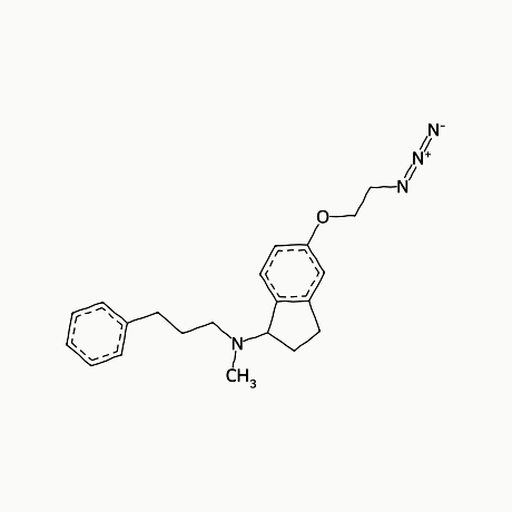 CN(CCCc1ccccc1)C1CCc2cc(OCCN=[N+]=[N-])ccc21